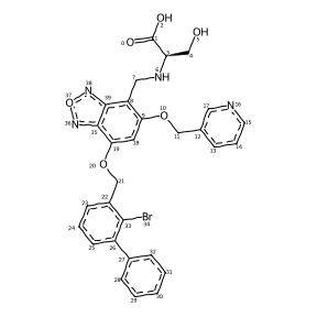 O=C(O)[C@@H](CO)NCc1c(OCc2cccnc2)cc(OCc2cccc(-c3ccccc3)c2Br)c2nonc12